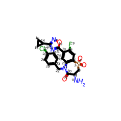 N[C@H]1CS(=O)(=O)c2cc(F)c(-c3nc(C4CC4)no3)cc2N(Cc2ccc(Cl)cc2)C1=O